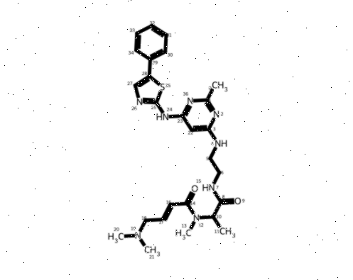 Cc1nc(NCCNC(=O)C(C)N(C)C(=O)/C=C/CN(C)C)cc(Nc2ncc(-c3ccccc3)s2)n1